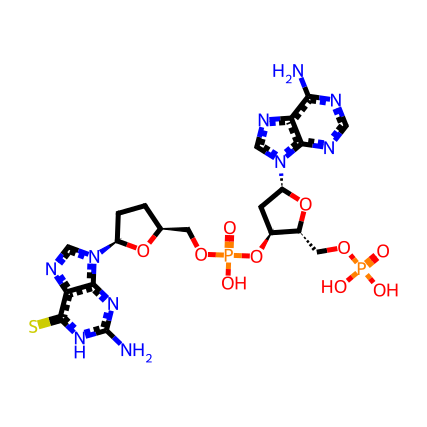 Nc1nc2c(ncn2[C@H]2CC[C@@H](COP(=O)(O)O[C@H]3C[C@H](n4cnc5c(N)ncnc54)O[C@@H]3COP(=O)(O)O)O2)c(=S)[nH]1